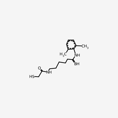 B=C(CCCCCNC(=O)CS)Nc1c(C)cccc1C